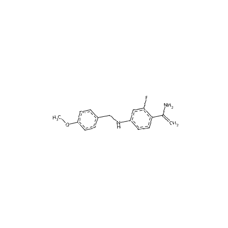 C=C(N)c1ccc(NCc2ccc(OC)cc2)cc1F